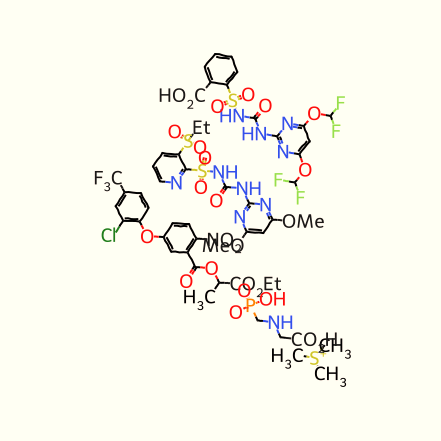 CCOC(=O)C(C)OC(=O)c1cc(Oc2ccc(C(F)(F)F)cc2Cl)ccc1[N+](=O)[O-].CCS(=O)(=O)c1cccnc1S(=O)(=O)NC(=O)Nc1nc(OC)cc(OC)n1.C[S+](C)C.O=C(Nc1nc(OC(F)F)cc(OC(F)F)n1)NS(=O)(=O)c1ccccc1C(=O)O.O=C(O)CNCP(=O)([O-])O